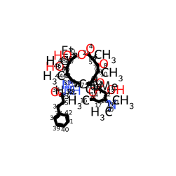 CC[C@H]1OC(=O)[C@H](C)C(=O)[C@H](C)[C@@H](OC2OC(C)CC(N(C)C)C2O)[C@](C)(OC)C[C@@H](C)/C(=N\NC(=O)CCc2ccccc2)[C@H](C)[C@@H](O)[C@]1(C)O